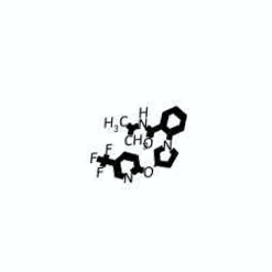 CC(C)NC(=O)c1ccccc1N1CC[C@H](Oc2ccc(C(F)(F)F)cn2)C1